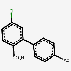 CC(=O)c1ccc(-c2cc(Cl)ccc2C(=O)O)cc1